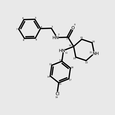 O=C(NCc1ccccc1)C1(Nc2ccc(Cl)cc2)CCNCC1